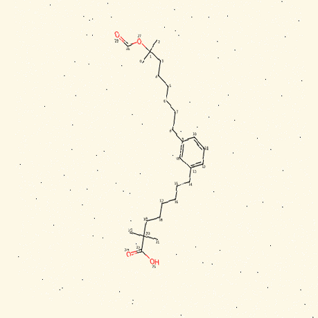 CC(C)(CCCCCCc1cccc(CCCCCCC(C)(C)C(=O)O)c1)OC=O